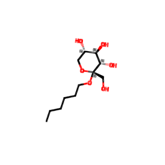 CCCCCCO[C@]1(CO)OC[C@H](O)[C@@H](O)[C@@H]1O